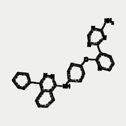 Nc1ncnc(-c2cccnc2Oc2ccc(Nc3nnc(-c4ccccc4)c4ccccc34)cc2)n1